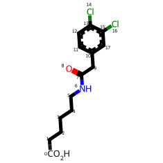 O=C(O)CCCCCNC(=O)Cc1ccc(Cl)c(Cl)c1